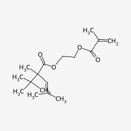 C=C(C)C(=O)OCCOC(=O)C(C)(C=C(C)C)C(C)(C)C